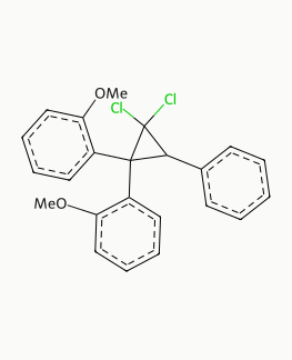 COc1ccccc1C1(c2ccccc2OC)C(c2ccccc2)C1(Cl)Cl